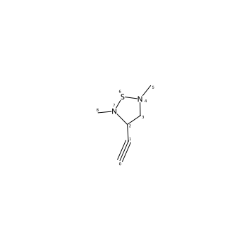 C#CC1CN(C)SN1C